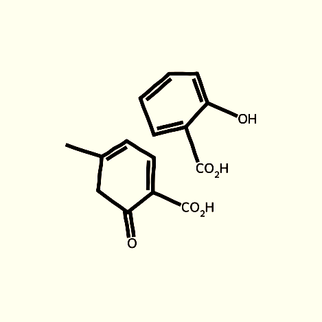 CC1=CC=C(C(=O)O)C(=O)C1.O=C(O)c1ccccc1O